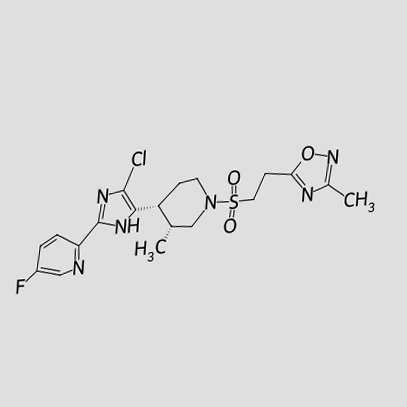 Cc1noc(CCS(=O)(=O)N2CC[C@@H](c3[nH]c(-c4ccc(F)cn4)nc3Cl)[C@@H](C)C2)n1